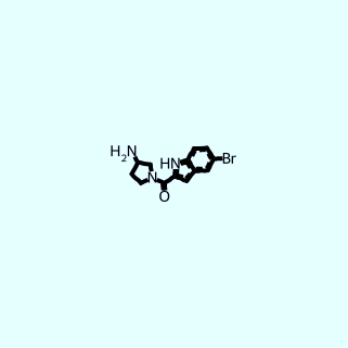 NC1CCN(C(=O)c2cc3cc(Br)ccc3[nH]2)C1